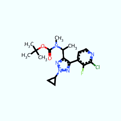 CC(c1nn(C2CC2)nc1-c1ccnc(Cl)c1F)N(C)C(=O)OC(C)(C)C